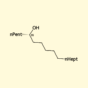 CCCCCCCCCCCC[C@@H](O)CCCCC